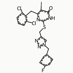 O=c1[nH]c(SCc2cn(Cc3ccc(F)cc3)nn2)nc(Cc2c(Cl)cccc2Cl)c1I